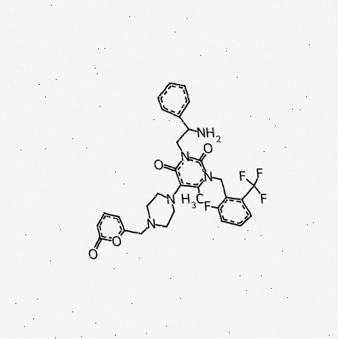 Cc1c(N2CCN(Cc3cccc(=O)o3)CC2)c(=O)n(CC(N)c2ccccc2)c(=O)n1Cc1c(F)cccc1C(F)(F)F